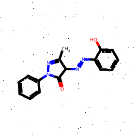 CC1=NN(c2ccccc2)C(=O)C1/N=N/c1ccccc1O